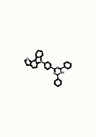 c1ccc(C2=NC(c3ccc(-n4c5ccccc5c5c6occc6ccc54)cc3)=NC(c3ccccc3)N2)cc1